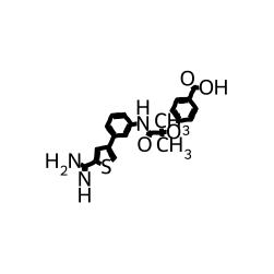 CC(C)(Oc1ccc(C(=O)O)cc1)C(=O)Nc1cccc(-c2csc(C(=N)N)c2)c1